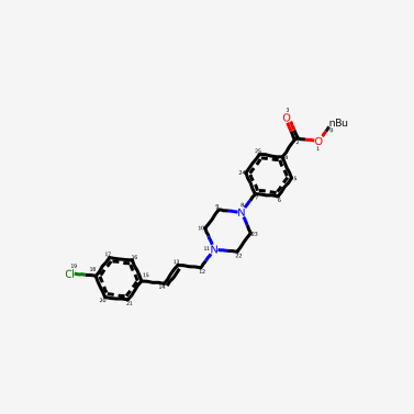 CCCCOC(=O)c1ccc(N2CCN(C/C=C/c3ccc(Cl)cc3)CC2)cc1